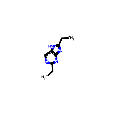 CCc1ncc2[nH]c(CC)nc2n1